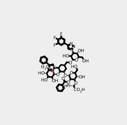 CCC[C@H](OC1C(OC(=O)c2ccccc2)[C@H](O[C@@H]2CC(CO[C@H]3OC(CO)[C@@H](O)C(n4cc(-c5cc(F)c(F)c(F)c5)nn4)C3O)CC(n3cc(-c4ccccc4)nn3)C2O[C@@H]2OC(C)[C@@H](O)C(O)C2O)OC(CO)[C@@H]1O)C(=O)O